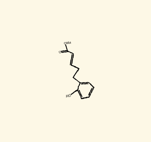 COC(=O)C=CCCc1ccccc1O